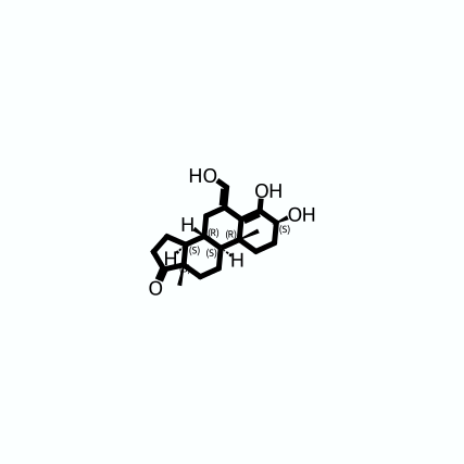 C[C@]12CC[C@H](O)C(O)=C1C(=CO)C[C@@H]1[C@@H]2CC[C@]2(C)C(=O)CC[C@@H]12